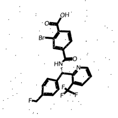 O=C(N[C@@H](c1ccc(CF)cc1)c1ncccc1C(F)(F)F)c1ccc(C(=O)O)c(Br)c1